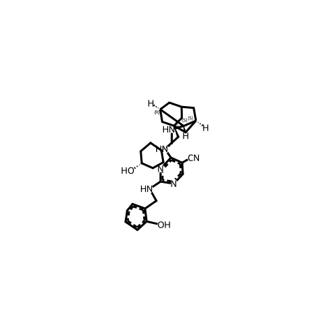 N#Cc1cnc(NCc2ccccc2O)nc1NC[C@]12CC3C[C@H](C1)[C@@H](NC[C@H]1CC[C@@H](O)CC1)[C@@H](C3)C2